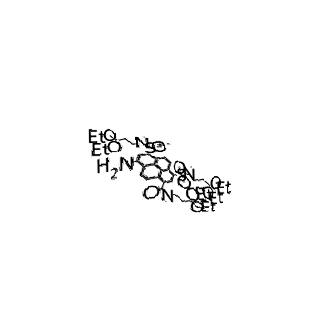 CCOC(CCN(C)C(=O)c1cc(S(=O)(=O)N(C)CCC(OCC)OCC)c2ccc3c([S+]([O-])N(C)CCC(OCC)OCC)cc(N)c4ccc1c2c43)OCC